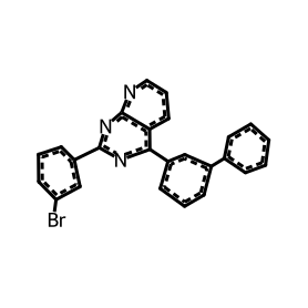 Brc1cccc(-c2nc(-c3cccc(-c4ccccc4)c3)c3cccnc3n2)c1